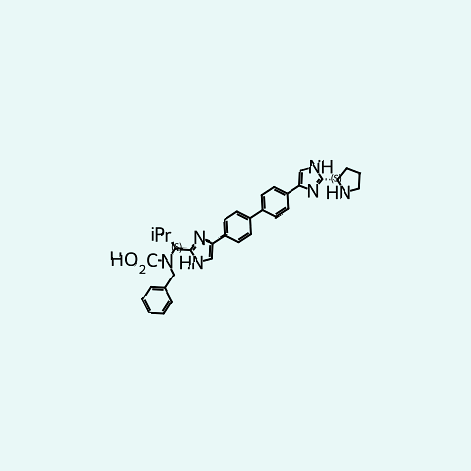 CC(C)[C@@H](c1nc(-c2ccc(-c3ccc(-c4c[nH]c([C@@H]5CCCN5)n4)cc3)cc2)c[nH]1)N(Cc1ccccc1)C(=O)O